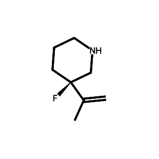 C=C(C)[C@]1(F)CCCNC1